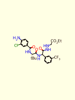 CCOC(=O)CNNC(=O)C(NC(=O)[C@@H](NC(=O)c1ccc(N)c(Cl)c1)C(C)(C)C)c1cccc(C(F)(F)F)c1